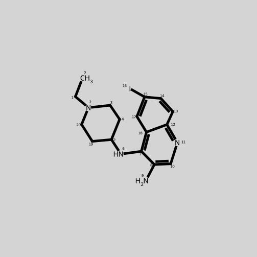 CCN1CCC(Nc2c(N)cnc3ccc(I)cc23)CC1